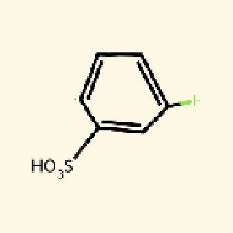 O=S(=O)(O)c1[c]ccc(F)c1